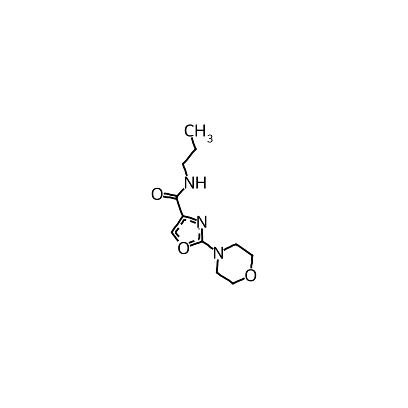 CCCNC(=O)c1coc(N2CCOCC2)n1